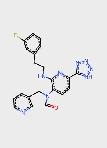 O=CN(Cc1cccnc1)c1ccc(-c2nnn[nH]2)nc1NCCc1cccc(F)c1